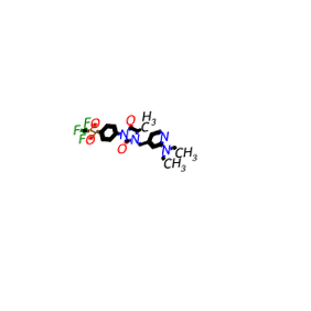 CCN(CC)c1cc(CN2C(=O)N(c3ccc(S(=O)(=O)C(F)(F)F)cc3)C(=O)C2C)ccn1